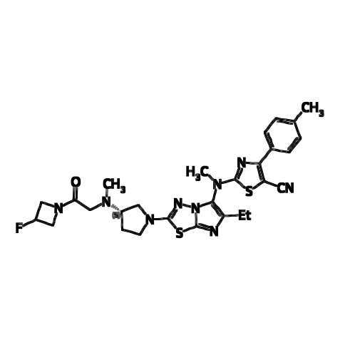 CCc1nc2sc(N3CC[C@H](N(C)CC(=O)N4CC(F)C4)C3)nn2c1N(C)c1nc(-c2ccc(C)cc2)c(C#N)s1